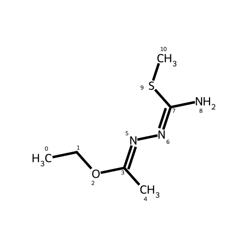 CCOC(C)=NN=C(N)SC